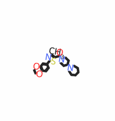 Cc1nc(-c2ccc3c(c2)OCCO3)sc1C(=O)N1CCC(N2CCCCCC2)CC1